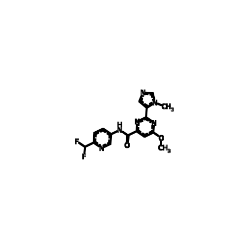 COc1cc(C(=O)Nc2ccc(C(F)F)nc2)nc(-c2cncn2C)n1